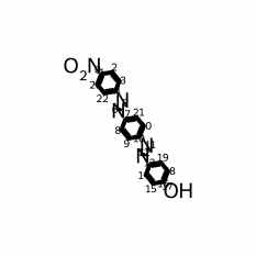 O=[N+]([O-])c1ccc(N=Nc2ccc(/N=N/c3ccc(O)cc3)cc2)cc1